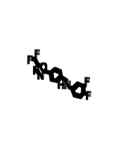 Fc1ccc(NCc2ccc(-c3nnc(C(F)F)o3)cc2)cc1F